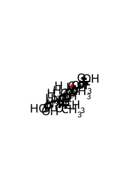 CC(C)C1=C2[C@H]3CC[C@@H]4[C@@]5(C)CC=C(C6=CCC(CF)(C(=O)O)CC6)C(C)(C)[C@@H]5CC[C@@]4(C)[C@]3(C)CC[C@@]2(NCCN2CCS(O)(O)CC2)CC1=O